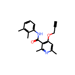 C#CCOc1cc(C)nc(C)c1C(=O)Nc1cccc(C)c1C